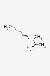 C=C(C)C(C)CC=CCCCC